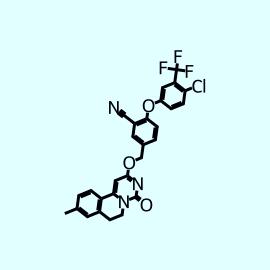 Cc1ccc2c(c1)CCn1c-2cc(OCc2ccc(Oc3ccc(Cl)c(C(F)(F)F)c3)c(C#N)c2)nc1=O